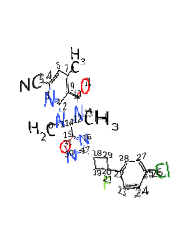 C=Nc1nc(C#N)cc(C)c1C(=O)N(C)Cc1nc([C@H]2C[C@](F)(c3ccc(Cl)cc3)C2)no1